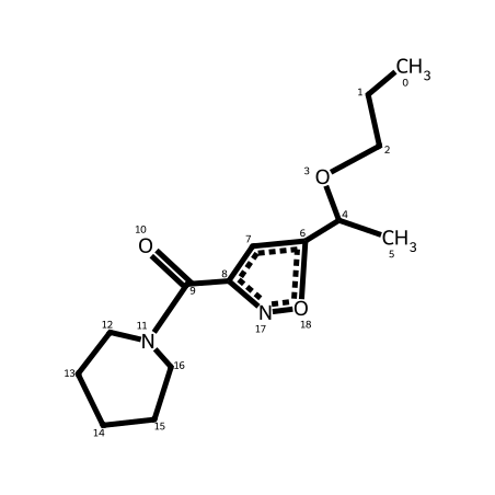 CCCOC(C)c1cc(C(=O)N2CCCCC2)no1